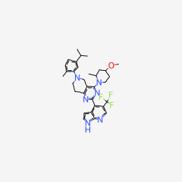 COC1CCN(c2nc(-c3c(C(F)(F)F)cnc4[nH]ccc34)nc3c2CN(c2cc(C(C)C)ccc2C)CC3)C(C)C1